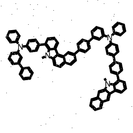 Cn1c2cc3ccccc3cc2c2cccc(-c3ccc(-c4ccc(N(c5ccccc5)c5cccc(-c6ccc(-c7ccc8ccc9c(c8c7)c7cccc(-c8ccc(N(c%10ccccc%10)c%10cccc(-c%11ccccc%11)c%10)cc8)c7n9C)cc6)c5)cc4)cc3)c21